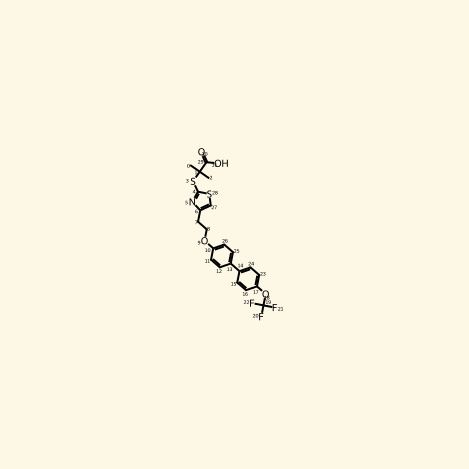 CC(C)(Sc1nc(CCOc2ccc(-c3ccc(OC(F)(F)F)cc3)cc2)cs1)C(=O)O